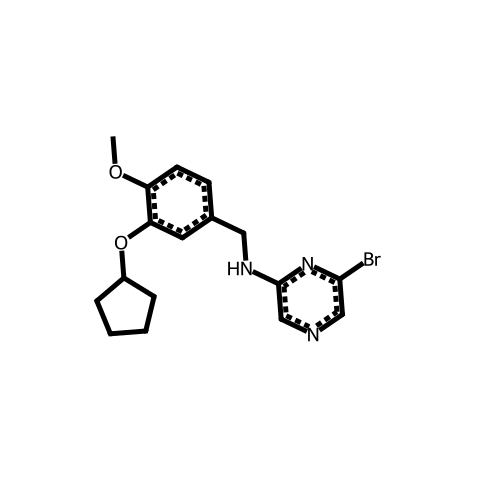 COc1ccc(CNc2cncc(Br)n2)cc1OC1CCCC1